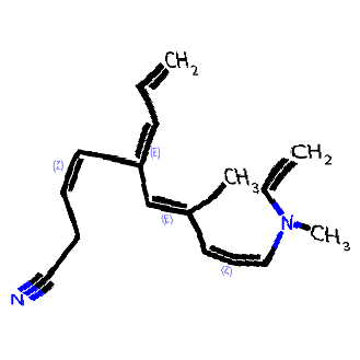 C=C/C=C(\C=C/CC#N)/C=C(C)/C=C\N(C)C=C